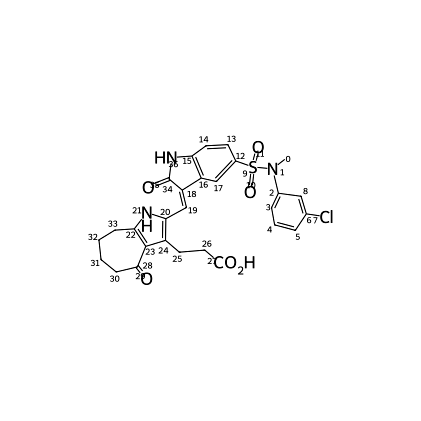 CN(c1cccc(Cl)c1)S(=O)(=O)c1ccc2c(c1)/C(=C/c1[nH]c3c(c1CCC(=O)O)C(=O)CCCC3)C(=O)N2